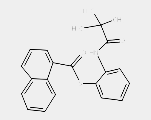 CC(C)(C)C(=O)Nc1ccccc1SC(=O)c1cccc2ccccc12